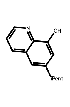 CCCC(C)c1cc(O)c2ncccc2c1